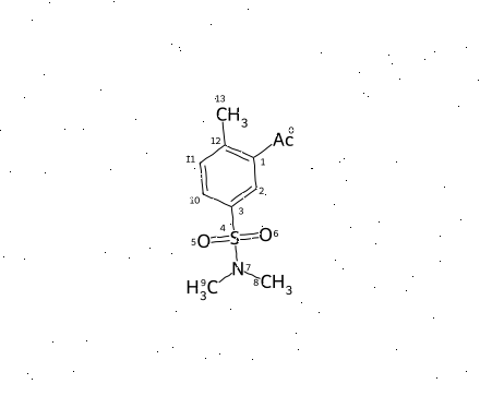 CC(=O)c1cc(S(=O)(=O)N(C)C)ccc1C